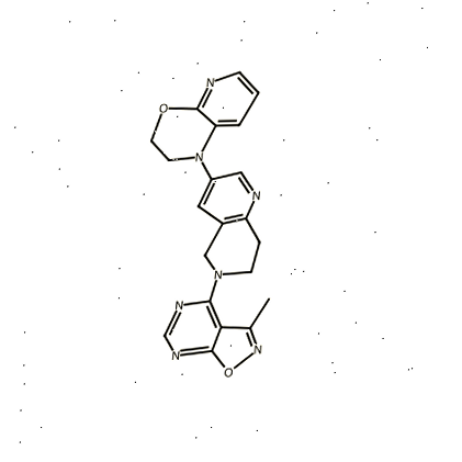 Cc1noc2ncnc(N3CCc4ncc(N5CCOc6ncccc65)cc4C3)c12